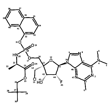 Cc1nc(N(C)C)c2ncn([C@@H]3O[C@](CCl)(COP(=O)(N[C@H](C)C(=O)OCC(C)(C)C)Oc4cccc5ccccc45)[C@@H](O)[C@H]3F)c2n1